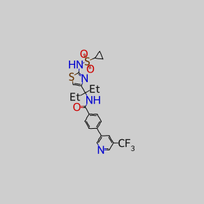 CCC(CC)(NC(=O)c1ccc(-c2cncc(C(F)(F)F)c2)cc1)c1csc(NS(=O)(=O)C2CC2)n1